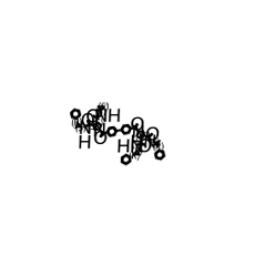 C[C@H]1C[C@@H]1NC(=O)[C@@H]1CN(C(=O)c2ccc(-c3ccc(C(=O)N4C[C@@H](C(=O)N[C@H]5C[C@@H]5c5ccccc5)[C@H](C(=O)N[C@H]5C[C@@H]5c5ccccc5)C4)cc3)cc2)C[C@H]1C(=O)N[C@H]1C[C@@H]1c1ccccc1